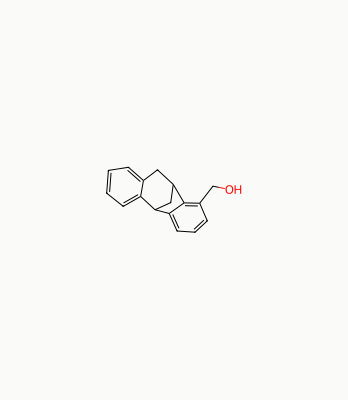 OCc1cccc2c1C1Cc3ccccc3C2C1